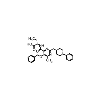 CCC(NC(=O)c1nc(CC2CCN(c3ccccc3)CC2)nc(C)c1OCc1ccccc1)C(=O)O